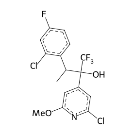 COc1cc(C(O)(C(C)c2ccc(F)cc2Cl)C(F)(F)F)cc(Cl)n1